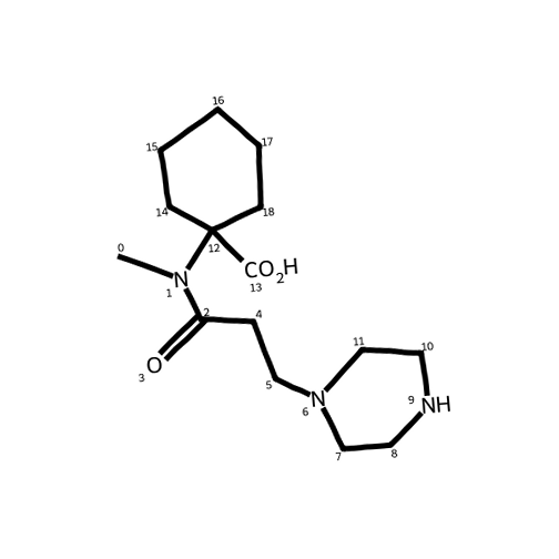 CN(C(=O)CCN1CCNCC1)C1(C(=O)O)CCCCC1